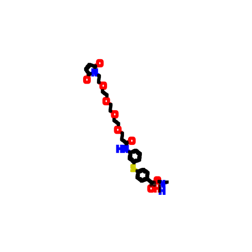 CNO[C@@H](O)c1ccc(Sc2cccc(NC(=O)CCOCCOCCOCCOCCN3C(=O)C=CC3=O)c2)cc1